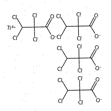 O=C([O-])C(Cl)(Cl)C(Cl)Cl.O=C([O-])C(Cl)(Cl)C(Cl)Cl.O=C([O-])C(Cl)(Cl)C(Cl)Cl.O=C([O-])C(Cl)(Cl)C(Cl)Cl.[Ti+4]